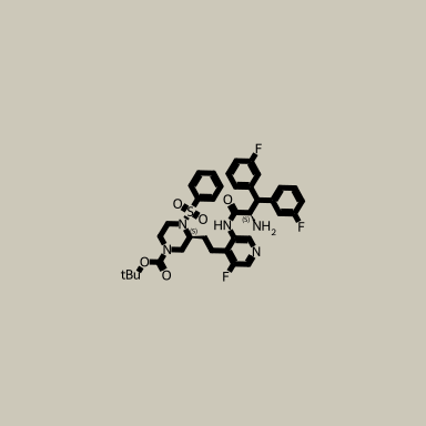 CC(C)(C)OC(=O)N1CCN(S(=O)(=O)c2ccccc2)[C@@H](CCc2c(F)cncc2NC(=O)[C@@H](N)C(c2cccc(F)c2)c2cccc(F)c2)C1